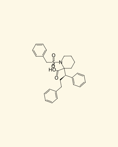 O=C(O)C1([C@H](CCc2ccccc2)c2ccccc2)CCCCN1S(=O)(=O)Cc1ccccc1